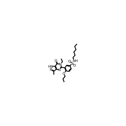 CCCCCCNS(=O)(=O)c1ccc(OCCC)c(-c2nc3c(C)n[nH]c3c(=O)n2CC)c1